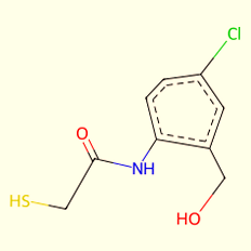 O=C(CS)Nc1ccc(Cl)cc1CO